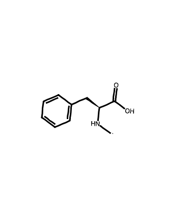 [CH2]N[C@@H](Cc1ccccc1)C(=O)O